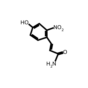 NC(=O)C=Cc1ccc(O)cc1[N+](=O)[O-]